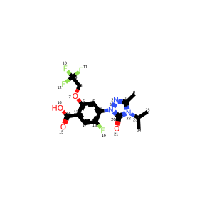 Cc1nn(-c2cc(OCC(F)(F)F)c(C(=O)O)cc2F)c(=O)n1C(C)C